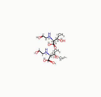 C[C@@H](O)[C@H](NCC=O)C(=O)[O-].C[C@@H](O)[C@H](NCC=O)C(=O)[O-].[Cu+2]